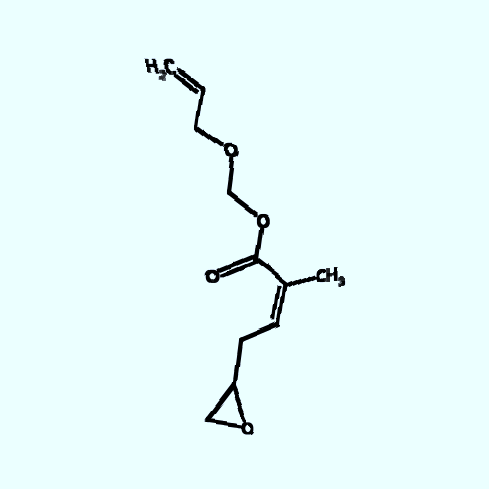 C=CCOCOC(=O)C(C)=CCC1CO1